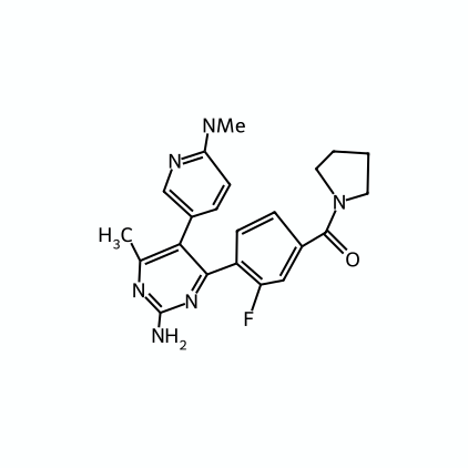 CNc1ccc(-c2c(C)nc(N)nc2-c2ccc(C(=O)N3CCCC3)cc2F)cn1